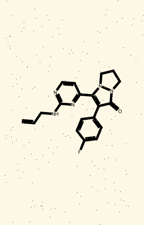 C=CCNc1nccc(-c2c(-c3ccc(F)cc3)c(=O)n3n2CCC3)n1